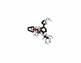 Cn1ccc(-c2ccc(OC(F)(F)C(C)(C)O)c3nc(N4CC5CCC(C4)N5C(=O)OC(C)(C)C)oc23)n1